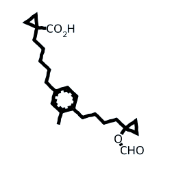 Cc1cc(CCCCCC2(C(=O)O)CC2)ccc1CCCCC1(OC=O)CC1